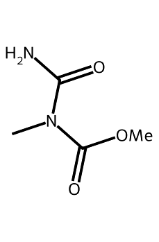 COC(=O)N(C)C(N)=O